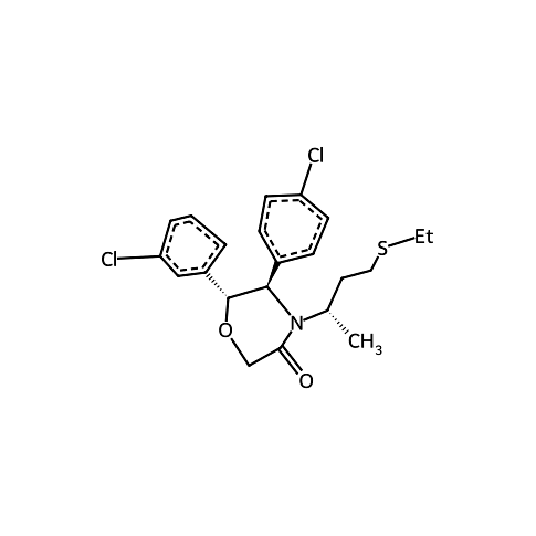 CCSCC[C@H](C)N1C(=O)CO[C@H](c2cccc(Cl)c2)[C@H]1c1ccc(Cl)cc1